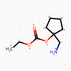 CCOC(=O)OC1(CN)CCCC1